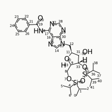 CC(C)[Si]1(C(C)C)OC[C@H]2O[C@@H](Cn3cnc4c(NC(=O)c5ccccc5)ncnc43)[C@H](O)[C@@H]2O[Si](C(C)C)(C(C)C)O1